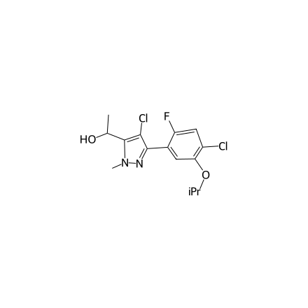 CC(C)Oc1cc(-c2nn(C)c(C(C)O)c2Cl)c(F)cc1Cl